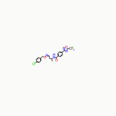 CC(C/C=N\OCc1ccc(Cl)cc1)NC(=O)c1ccc(-c2noc(C(F)(F)F)n2)cc1